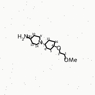 COCCO[C@H]1CC[C@H](N2CCC(N)CC2)CC1